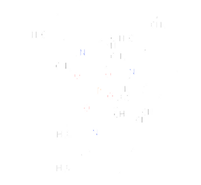 CC1(C)CCCC(C)(C)N1OP(=O)(ON1C(C)(C)CCCC1(C)C)ON1C(C)(C)CCCC1(C)C